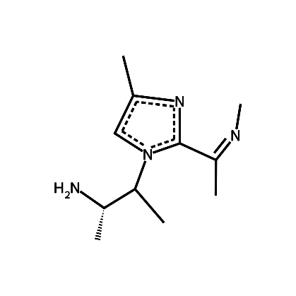 C/N=C(/C)c1nc(C)cn1C(C)[C@H](C)N